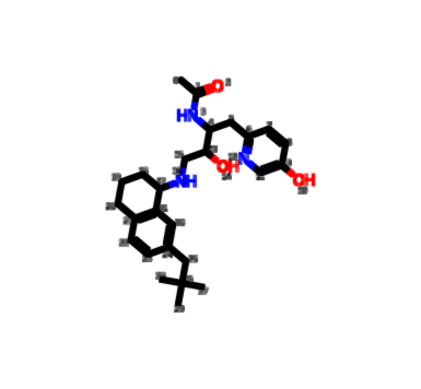 CC(=O)NC(Cc1ccc(O)cn1)C(O)CNC1CCCc2ccc(CC(C)(C)C)cc21